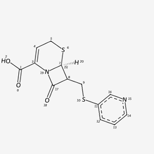 O=C(O)C1=CCS[C@H]2C(CSc3cccnc3)C(=O)N12